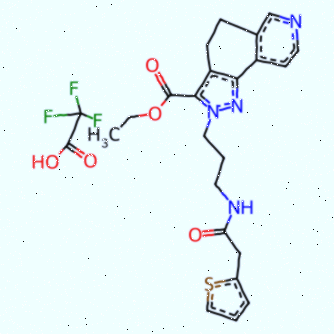 CCOC(=O)c1c2c(nn1CCCNC(=O)Cc1cccs1)-c1ccncc1CC2.O=C(O)C(F)(F)F